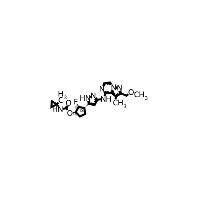 COCc1nn2ccnc(Nc3cc([C@@H]4CC[C@H](OC(=O)NC5(C)CC5)[C@@H]4F)[nH]n3)c2c1C